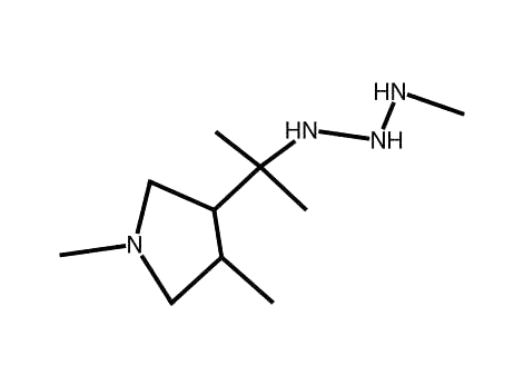 CNNNC(C)(C)C1CN(C)CC1C